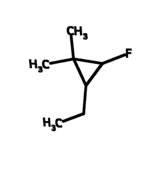 CCC1C(F)C1(C)C